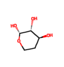 O[C@@H]1[C@@H](O)CCO[C@@H]1O